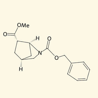 COC(=O)[C@H]1C[C@H]2C[C@@H]1N(C(=O)OCc1ccccc1)C2